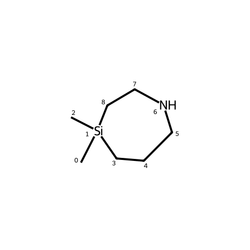 C[Si]1(C)CCCNCC1